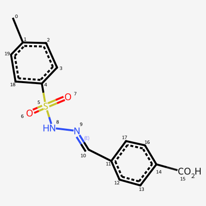 Cc1ccc(S(=O)(=O)N/N=C/c2ccc(C(=O)O)cc2)cc1